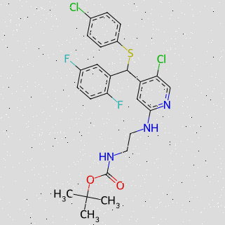 CC(C)(C)OC(=O)NCCNc1cc(C(Sc2ccc(Cl)cc2)c2cc(F)ccc2F)c(Cl)cn1